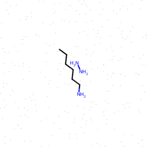 CCCCCCN.NN